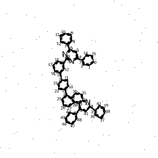 c1ccc(-c2cc(-c3ccccc3)nc(-c3cccc(-c4ccc(-c5cccc6c5ccc5nc(-c7ccccc7)cc(-c7ccccc7)c56)cc4)c3)n2)cc1